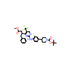 COC(=O)CC(Cc1ccccc1)c1nc(Nc2ccc(C3CCN(C(=O)OC(C)(C)C)CC3)cc2F)ncc1C(F)(F)F